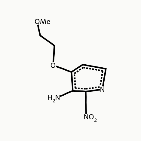 COCCOc1ccnc([N+](=O)[O-])c1N